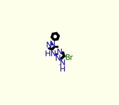 CNc1nc(Nc2cnn(-c3ccccc3)c2C)ncc1Br